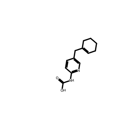 O=C(O)Nc1ccc(CC2=CCCCC2)cn1